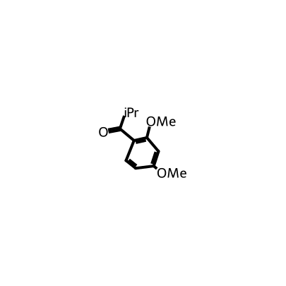 COc1ccc(C(=O)C(C)C)c(OC)c1